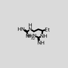 [CH2]CC(CCNC(=N)N)NC(=N)N